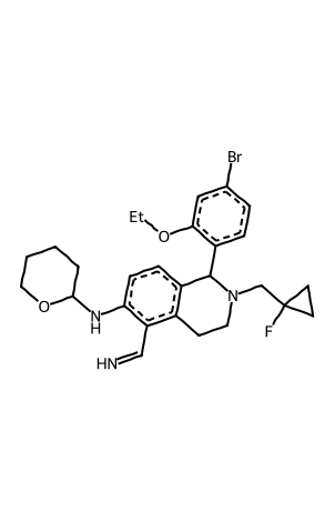 CCOc1cc(Br)ccc1C1c2ccc(NC3CCCCO3)c(C=N)c2CCN1CC1(F)CC1